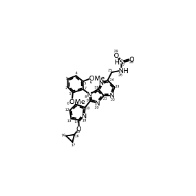 COc1cccc(OC)c1-n1c(-c2cccc(OC3CC3)n2)nc2ncc(CN[SH](=O)=O)nc21